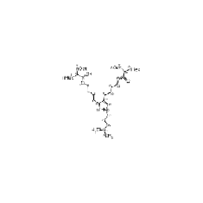 CCCCCCCCC(CCCCCC)C(=O)OCCCCc1cn(CCCN(C)C)cc1CCCCOC(=O)C(CCCCCC)CCCCCCCC